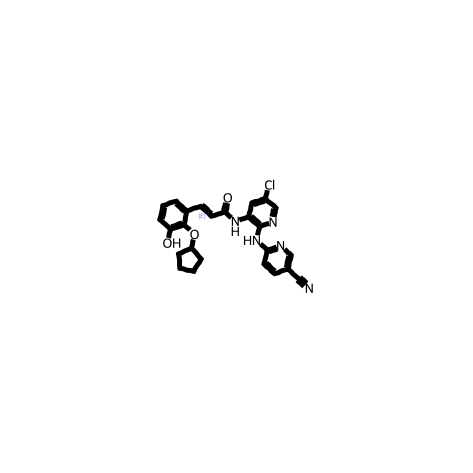 N#Cc1ccc(Nc2ncc(Cl)cc2NC(=O)/C=C/c2cccc(O)c2OC2CCCC2)nc1